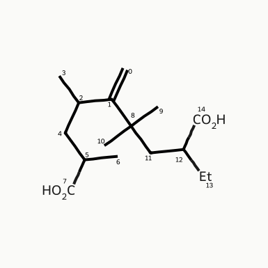 C=C(C(C)CC(C)C(=O)O)C(C)(C)CC(CC)C(=O)O